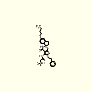 CS(=O)(=O)CC(=O)Nc1c2c(nn1CCc1ccccc1)C[C@]1(CCc3cc(OCCCC(F)(F)F)ccc31)NC2=O